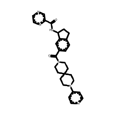 O=C(NC1CCc2ccc(C(=O)N3CCC4(CC3)CCN(c3ccncc3)CC4)cc21)c1cnccn1